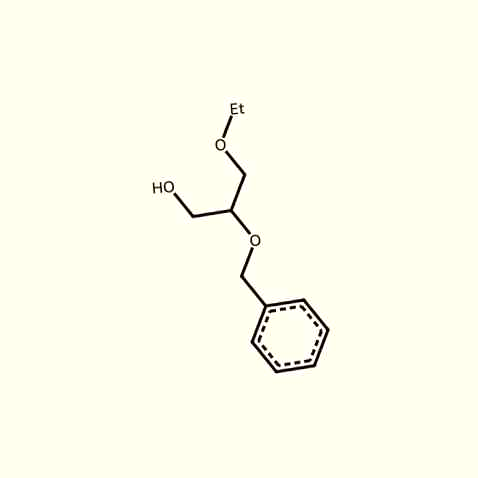 CCOCC(CO)OCc1ccccc1